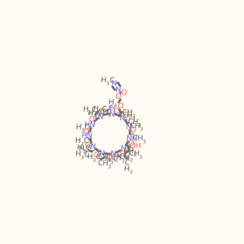 C/C=C/C[C@@H](C)[C@@H](O)[C@H]1C(=O)N[C@@H](CC)C(=O)N(C)[C@H](C)C(=O)N(C)[C@@H]([C@H](C)COCCOC(=O)N2CCN(C)CC2)C(=O)N[C@@H](C(C)C)C(=O)N(C)[C@@H](CC(C)C)C(=O)N[C@@H](C)C(=O)N[C@H](C)C(=O)N(C)[C@@H](CC(C)C)C(=O)N(C)[C@@H](CC(C)C)C(=O)N(C)[C@@H](C(C)C)C(=O)N1C